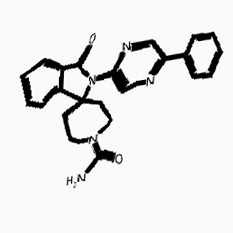 NC(=O)N1CCC2(CC1)c1ccccc1C(=O)N2c1cnc(-c2ccccc2)cn1